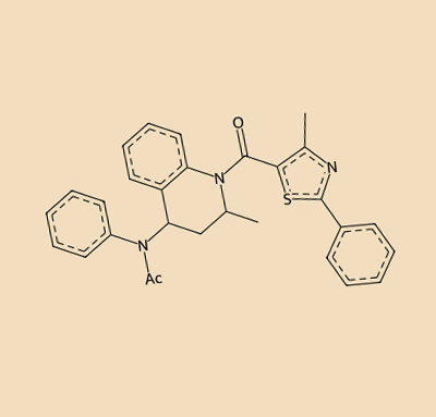 CC(=O)N(c1ccccc1)C1CC(C)N(C(=O)c2sc(-c3ccccc3)nc2C)c2ccccc21